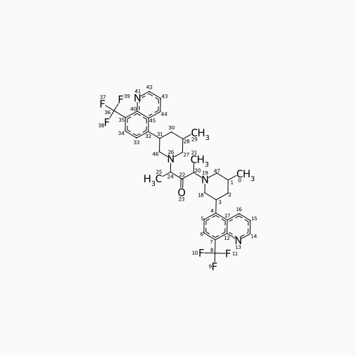 CC1CC(c2ccc(C(F)(F)F)c3ncccc23)CN(C(C)C(=O)C(C)N2CC(C)CC(c3ccc(C(F)(F)F)c4ncccc34)C2)C1